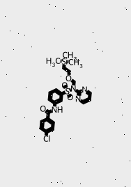 C[Si](C)(C)CCOCN(c1ncccn1)S(=O)(=O)c1cccc(NC(=O)c2ccc(Cl)cc2)c1